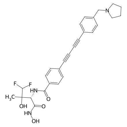 CC(O)(C(F)F)[C@H](NC(=O)c1ccc(C#CC#Cc2ccc(CN3CCCC3)cc2)cc1)C(=O)NO